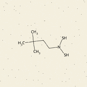 CC(C)(C)CCN(S)S